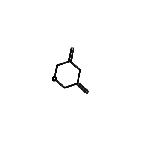 C=C1COCC(=C)C1